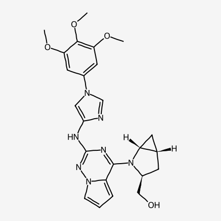 COc1cc(-n2cnc(Nc3nc(N4[C@H](CO)C[C@H]5C[C@H]54)c4cccn4n3)c2)cc(OC)c1OC